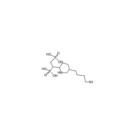 O=P(O)(O)CC(C1CCC(CCCCS)CN1)P(=O)(O)O